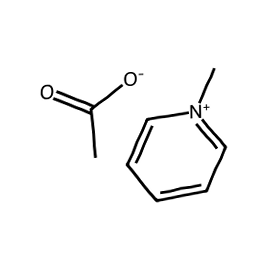 CC(=O)[O-].C[n+]1ccccc1